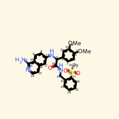 COc1ccc(C(Nc2ccc3c(N)nccc3c2)C(=O)NCc2ccccc2S(=O)(=O)C(C)C)cc1OC